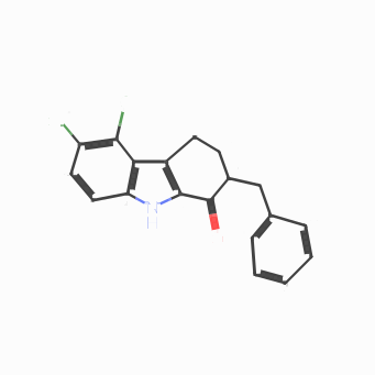 O=C1c2[nH]c3ccc(Cl)c(Cl)c3c2CCC1Cc1ccccc1